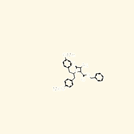 COc1ccc(CC(Cc2ccc(OC)cc2)N2C(=O)C(C(C)=O)C2C(=O)OCc2ccccc2)cc1